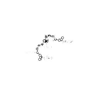 CCCCCCc1cc(-c2ccc3c(c2)-c2ccccc2C3(CCCCCC)CCCCCC)sc1-c1ccc(-c2ccc(-c3sc(-c4ccc(-c5cc(CCCCCC)c(-c6ccc(-c7ccc(-c8sc(-c9ccc%10c(c9)-c9ccccc9C%10(CCCCCC)CCCCCC)cc8CCCCCC)s7)s6)s5)c5nsnc45)cc3CCCCCC)s2)s1